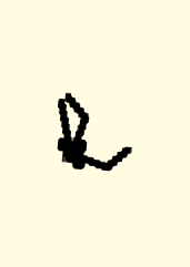 CCCCCCCC/C=C\CCCCCCCC(=O)OCC(COC(=O)CCCCCCC/C=C\CCCCCCCC)(COC(=O)CCCCCCCCCCCCC)N(C)C